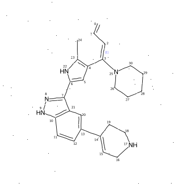 C=C/C=C(\c1cc(-c2n[nH]c3ccc(C4=CCNCC4)cc23)[nH]c1C)N1CCCCC1